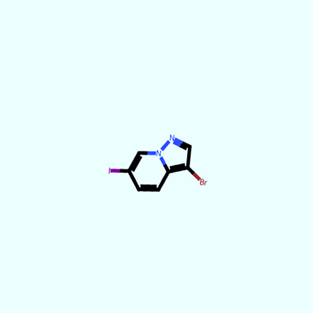 Brc1cnn2cc(I)ccc12